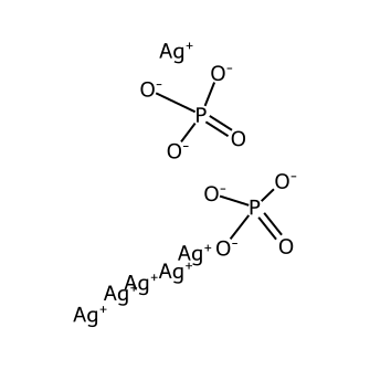 O=P([O-])([O-])[O-].O=P([O-])([O-])[O-].[Ag+].[Ag+].[Ag+].[Ag+].[Ag+].[Ag+]